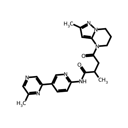 Cc1cncc(-c2ccc(NC(=O)C(C)CC(=O)N3CCCn4nc(C)cc43)nc2)n1